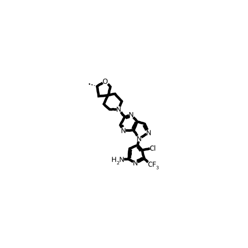 C[C@H]1CC2(CCN(c3cnc4c(cnn4-c4cc(N)nc(C(F)(F)F)c4Cl)n3)CC2)CO1